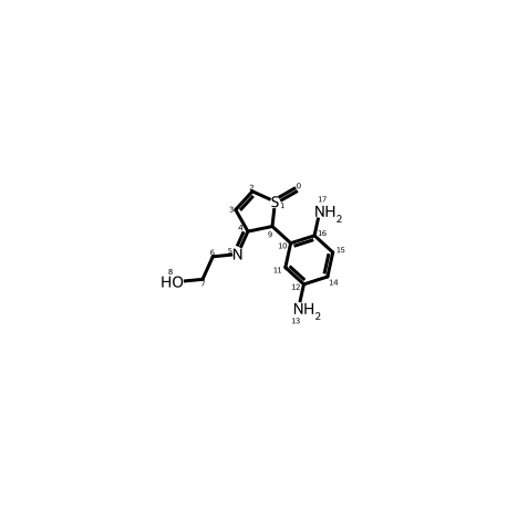 C=S1C=CC(=NCCO)C1c1cc(N)ccc1N